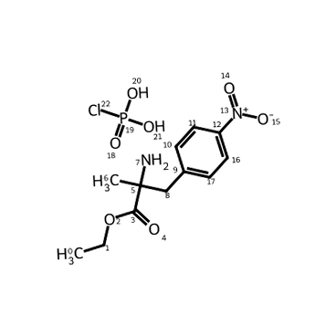 CCOC(=O)C(C)(N)Cc1ccc([N+](=O)[O-])cc1.O=P(O)(O)Cl